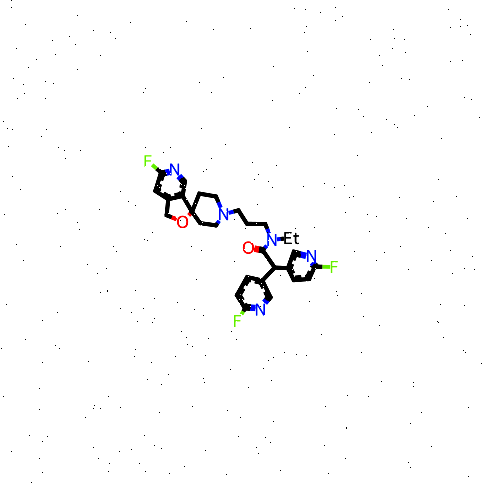 CCN(CCCN1CCC2(CC1)OCc1cc(F)ncc12)C(=O)C(c1ccc(F)nc1)c1ccc(F)nc1